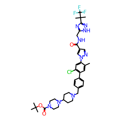 Cc1cc(-c2ccc(CN3CCC(N4CCN(C(=O)OC(C)(C)C)CC4)CC3)cc2)c(Cl)cc1-n1cc(C(=O)NCc2nc(C(C)(C)C(F)(F)F)n[nH]2)cn1